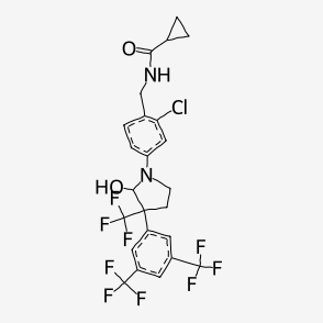 O=C(NCc1ccc(N2CCC(c3cc(C(F)(F)F)cc(C(F)(F)F)c3)(C(F)(F)F)C2O)cc1Cl)C1CC1